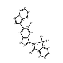 O=C(Nc1n[nH]c2nc(-c3cnn4ccccc34)c(F)cc12)c1ccccc1C(F)(F)F